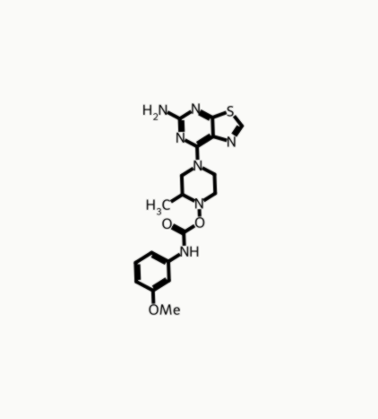 COc1cccc(NC(=O)ON2CCN(c3nc(N)nc4scnc34)CC2C)c1